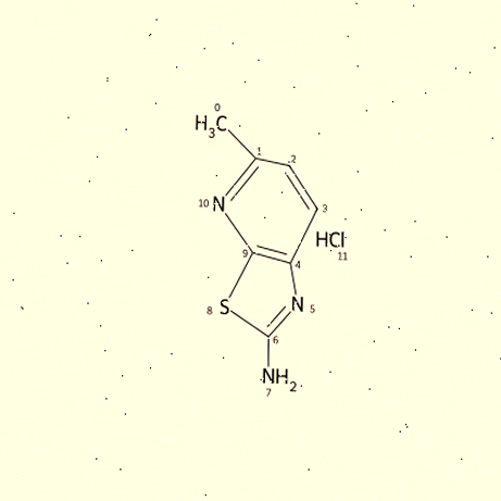 Cc1ccc2nc(N)sc2n1.Cl